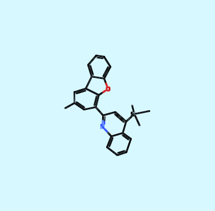 Cc1cc(-c2cc([Si](C)(C)C)c3ccccc3n2)c2oc3ccccc3c2c1